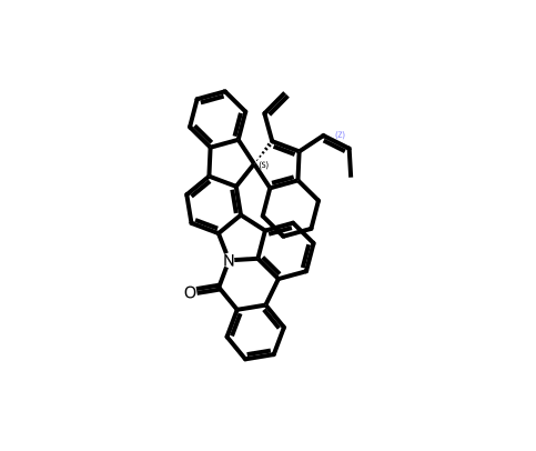 C=CC1=C(/C=C\C)C2=C(CCCC2)[C@@]12c1ccccc1-c1ccc3c(c12)c1cccc2c4ccccc4c(=O)n3c21